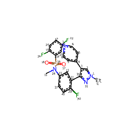 CCn1cc(-c2ccncc2)c(-c2cc(N(C)S(=O)(=O)c3cc(F)ccc3F)ccc2F)n1